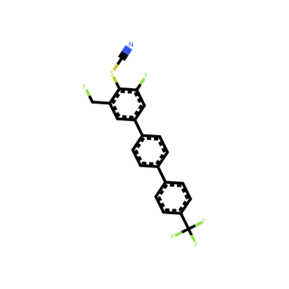 N#CSc1c(F)cc(-c2ccc(-c3ccc(C(F)(F)F)cc3)cc2)cc1CF